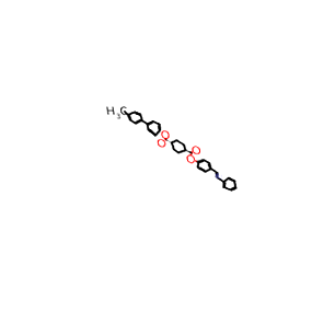 Cc1ccc(-c2ccc(OC(=O)[C@H]3CC[C@H](C(=O)Oc4ccc(/C=C/c5ccccc5)cc4)CC3)cc2)cc1